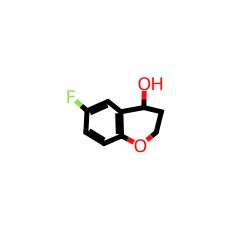 OC1CCOc2ccc(F)cc21